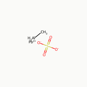 O=S(=O)([O-])[O-].[CH3][AlH2].[Pb+2]